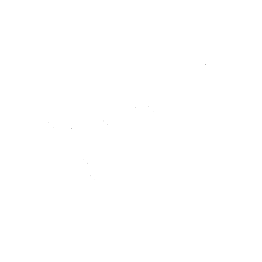 Cc1cc2[nH]ncc2c(-c2c(N3CCn4nccc4C3)nn(C3CC4(CNC4)C3)c2C)c1Cl